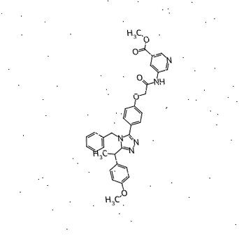 COC(=O)c1cncc(NC(=O)COc2ccc(-c3nnc(C(C)c4ccc(OC)cc4)n3Cc3ccccc3)cc2)c1